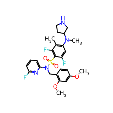 COc1ccc(CN(c2cccc(F)n2)S(=O)(=O)c2c(F)cc(N(C)C3CCNC3)c(C)c2F)c(OC)c1